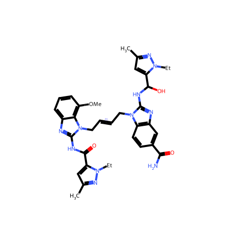 CCn1nc(C)cc1C(=O)Nc1nc2cccc(OC)c2n1C/C=C/Cn1c(NC(O)c2cc(C)nn2CC)nc2cc(C(N)=O)ccc21